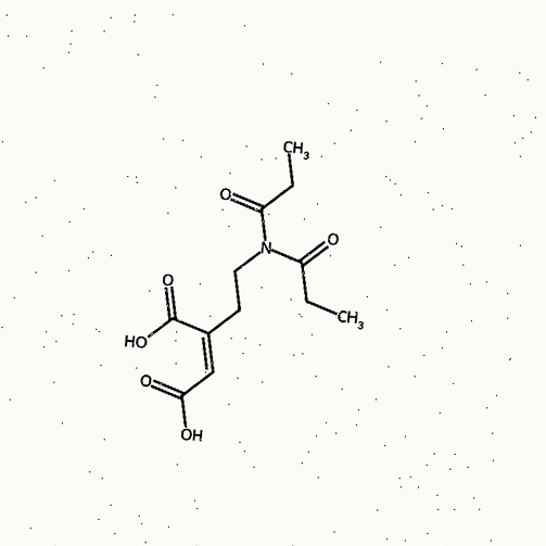 CCC(=O)N(CCC(=CC(=O)O)C(=O)O)C(=O)CC